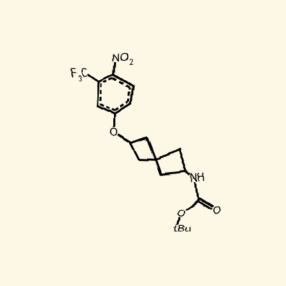 CC(C)(C)OC(=O)NC1CC2(C1)CC(Oc1ccc([N+](=O)[O-])c(C(F)(F)F)c1)C2